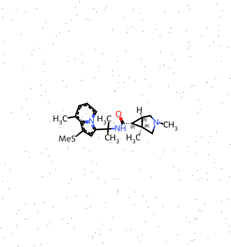 CSc1cc(C(C)(C)NC(=O)[C@@H]2[C@H]3CN(C)C[C@]32C)n2cccc(C)c12